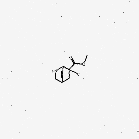 COC(=O)C1(Cl)CC2C=CC1NC2